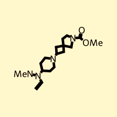 C=CN(NC)C1CCN(C2CC3(CCN(C(=O)OC)C3)C2)CC1